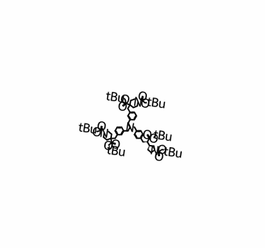 CC(C)(C)OC(=O)[C@H](Cc1ccc(CN(Cc2cccc(CC3(C(=O)OC(C)(C)C)CCN(C(=O)OC(C)(C)C)CC3)c2)Cc2cccc(CC3(C(=O)OC(C)(C)C)CCN(C(=O)OC(C)(C)C)CC3)c2)cc1)[C@@H]1CCN(C(=O)OC(C)(C)C)C1